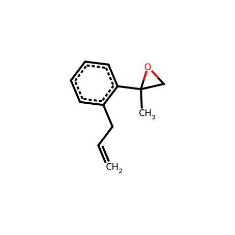 C=CCc1ccccc1C1(C)CO1